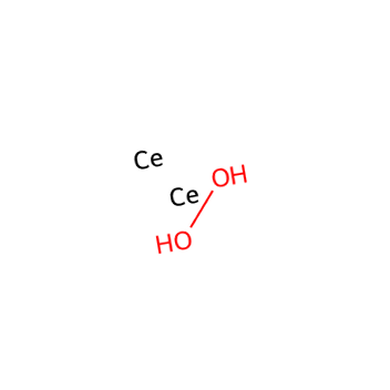 OO.[Ce].[Ce]